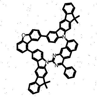 CC1(C)c2ccccc2-c2cc3c4cc(-c5ccc6oc7cccc(-c8ccc9c(c8)c8cc%10c(cc8n9-c8nc(-c9ccccc9)c9ccccc9n8)C(C)(C)c8ccccc8-%10)c7c6c5)ccc4n(-c4ccccc4)c3cc21